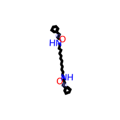 O=C(/C=C/c1ccccc1)NCCCCCCCCCCCCNC(=O)/C=C/c1ccccc1